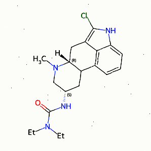 CCN(CC)C(=O)N[C@H]1CC2c3cccc4[nH]c(Cl)c(c34)C[C@H]2N(C)C1